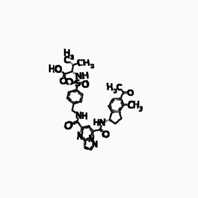 CC(=O)c1ccc2c(c1C)CC[C@@H]2NC(=O)c1cc(C(=O)NCc2ccc(S(=O)(=O)N[C@H](C(=O)O)C(C)C)cc2)nc2ccnn12